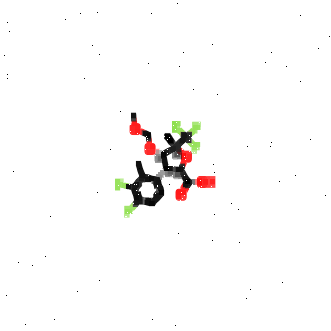 COCO[C@H]1[C@@H](c2ccc(F)c(F)c2C)[C@H](C(=O)O)O[C@@]1(C)C(F)(F)F